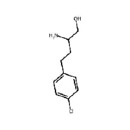 NC(CO)CCc1ccc(Cl)cc1